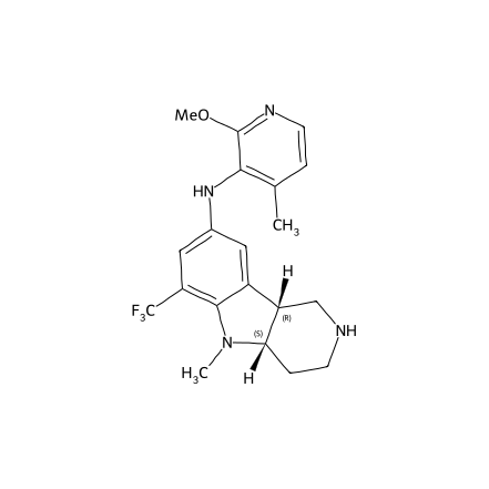 COc1nccc(C)c1Nc1cc2c(c(C(F)(F)F)c1)N(C)[C@H]1CCNC[C@@H]21